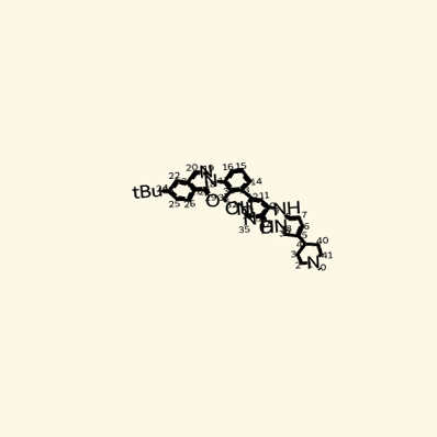 CN1CCC(C2=CC=C(Nc3cc(-c4cccc(-n5ncc6cc(C(C)(C)C)ccc6c5=O)c4CO)nn(C)c3=O)NC2)CC1